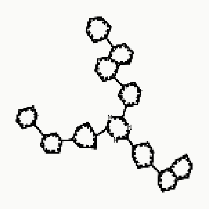 c1ccc(-c2cccc(-c3ccc(-c4nc(-c5ccc(-c6cccc7ccccc67)cc5)nc(-c5cccc(-c6cccc7c(-c8ccccc8)cccc67)c5)n4)cc3)c2)cc1